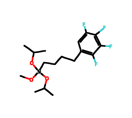 CO[Si](CCCCc1cc(F)c(F)c(F)c1F)(OC(C)C)OC(C)C